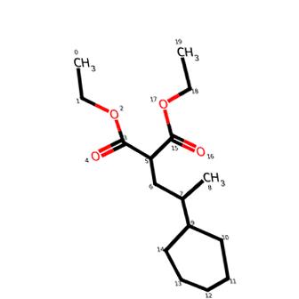 CCOC(=O)C(CC(C)C1CCCCC1)C(=O)OCC